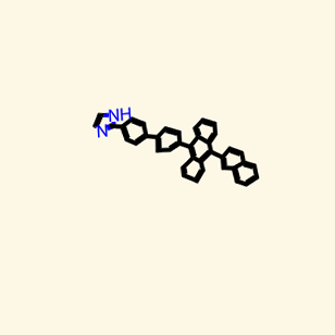 c1ccc2cc(-c3c4ccccc4c(-c4ccc(-c5ccc(-c6ncc[nH]6)cc5)cc4)c4ccccc34)ccc2c1